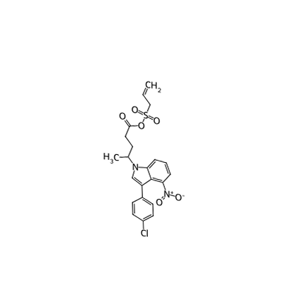 C=CCS(=O)(=O)OC(=O)CCC(C)n1cc(-c2ccc(Cl)cc2)c2c([N+](=O)[O-])cccc21